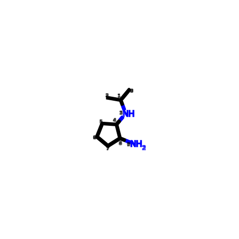 CC(C)NC1CCCC1N